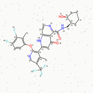 Cc1c(Oc2ncc(C(F)(F)F)c(C)c2-c2cc(=O)c3c(C(=O)NC[C@@H]4CCCC[C@@H]4O)nccc3[nH]2)ccc(F)c1F